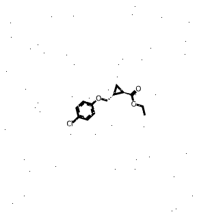 CCOC(=O)[C@@H]1C[C@H]1COc1ccc(Cl)cc1